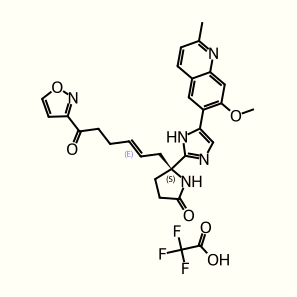 COc1cc2nc(C)ccc2cc1-c1cnc([C@@]2(C/C=C/CCC(=O)c3ccon3)CCC(=O)N2)[nH]1.O=C(O)C(F)(F)F